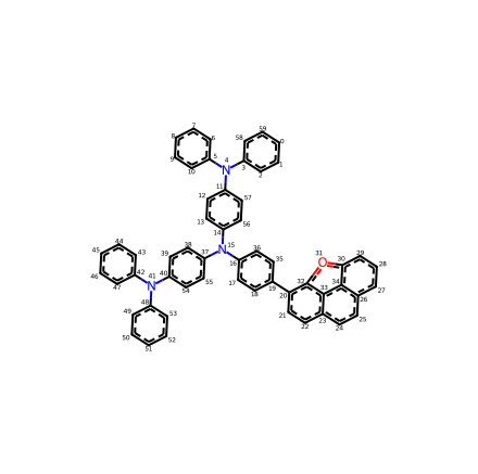 c1ccc(N(c2ccccc2)c2ccc(N(c3ccc(-c4ccc5ccc6cccc7oc4c5c67)cc3)c3ccc(N(c4ccccc4)c4ccccc4)cc3)cc2)cc1